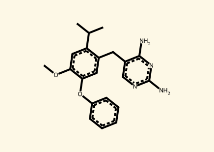 COc1cc(C(C)C)c(Cc2cnc(N)nc2N)cc1Oc1ccccc1